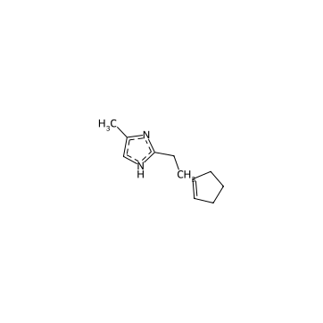 C1=CCCC1.CCc1nc(C)c[nH]1